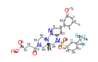 COc1cc(C)cc(-c2cnc3c(c2)N(S(=O)(=O)c2cccc(C(F)(F)F)c2)C[C@@H]2CN(C(=O)CCC(=O)O)CCN32)c1